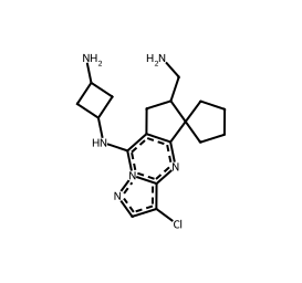 NCC1Cc2c(nc3c(Cl)cnn3c2NC2CC(N)C2)C12CCCC2